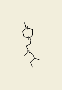 CCC(C)CN(C)CCN1CCN(C)CC1